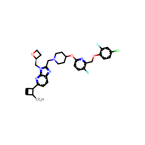 O=C(O)C1C#CC1c1ccc2nc(CN3CCC(Oc4ccc(F)c(COc5ccc(Cl)cc5F)n4)CC3)n(C[C@@H]3CCO3)c2n1